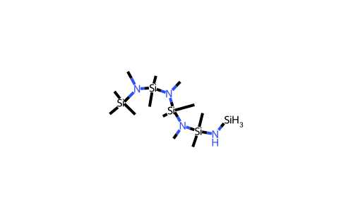 CN([Si](C)(C)C)[Si](C)(C)N(C)[Si](C)(C)N(C)[Si](C)(C)N[SiH3]